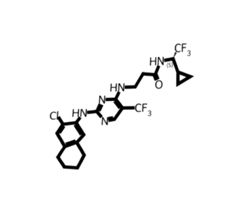 O=C(CCNc1nc(Nc2cc3c(cc2Cl)CCCC3)ncc1C(F)(F)F)N[C@@H](C1CC1)C(F)(F)F